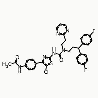 CC(=O)Nc1ccc(-c2nc(NC(=O)N(CCc3ncccn3)CCC(c3ccc(F)cc3)c3ccc(F)cc3)sc2Cl)cc1